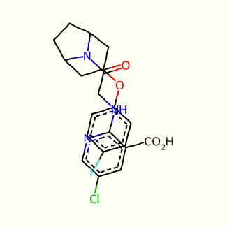 O=C(O)c1cc(Cl)cnc1NCC(=O)N1C2CCC1CC(Oc1ccc(F)cc1)C2